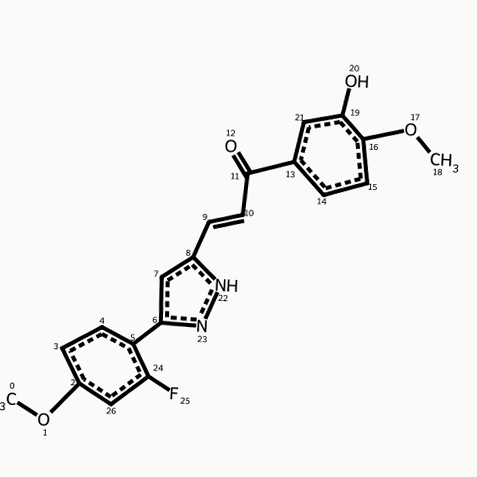 COc1ccc(-c2cc(/C=C/C(=O)c3ccc(OC)c(O)c3)[nH]n2)c(F)c1